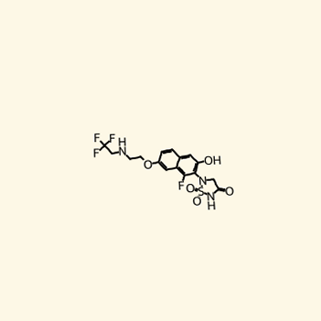 O=C1CN(c2c(O)cc3ccc(OCCNCC(F)(F)F)cc3c2F)S(=O)(=O)N1